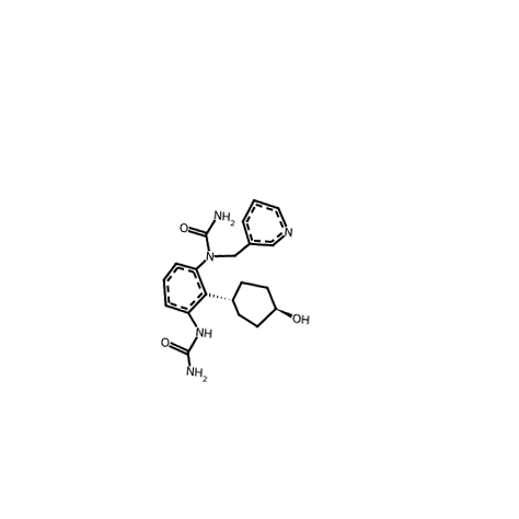 NC(=O)Nc1cccc(N(Cc2cccnc2)C(N)=O)c1[C@H]1CC[C@H](O)CC1